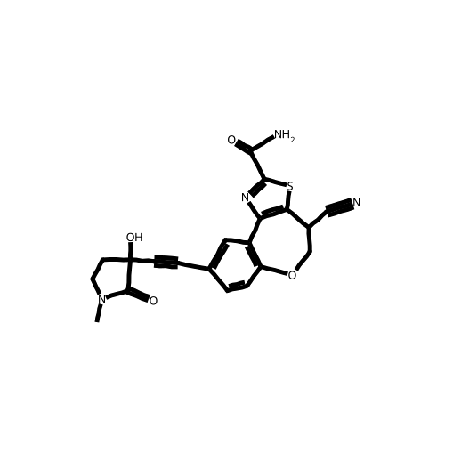 CN1CCC(O)(C#Cc2ccc3c(c2)-c2nc(C(N)=O)sc2C(C#N)CO3)C1=O